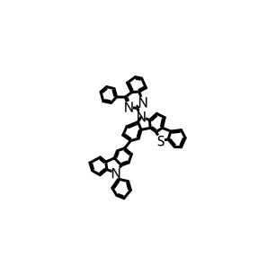 c1ccc(-c2nc(-n3c4ccc(-c5ccc6c(c5)c5ccccc5n6-c5ccccc5)cc4c4c5sc6ccccc6c5ccc43)nc3ccccc23)cc1